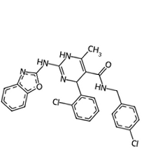 CC1=C(C(=O)NCc2ccc(Cl)cc2)C(c2ccccc2Cl)N=C(Nc2nc3ccccc3o2)N1